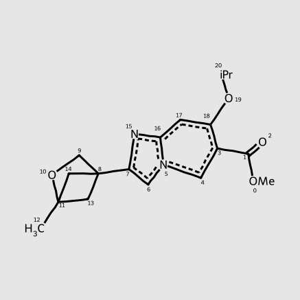 COC(=O)c1cn2cc(C34COC(C)(C3)C4)nc2cc1OC(C)C